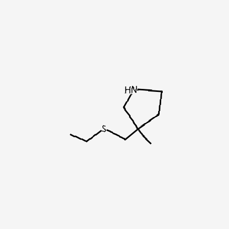 CCSCC1(C)CCNC1